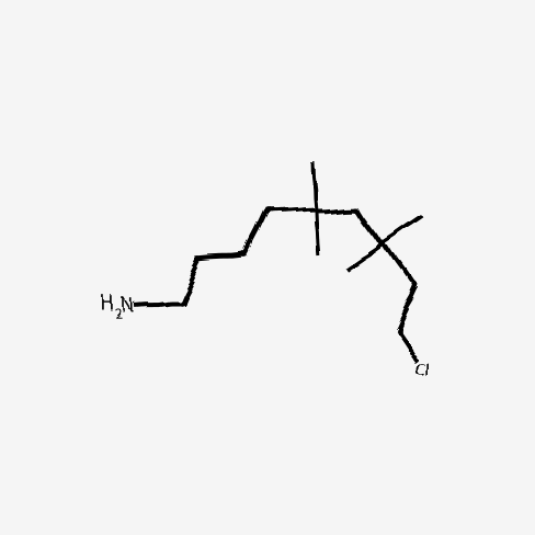 CC(C)(CCCl)CC(C)(C)CCCCN